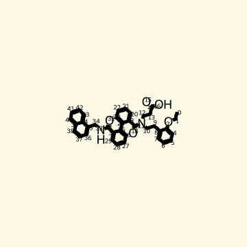 CCOc1ccccc1CCN(CCC(=O)O)C(=O)c1ccccc1-c1ccccc1C(=O)NCc1cccc2ccccc12